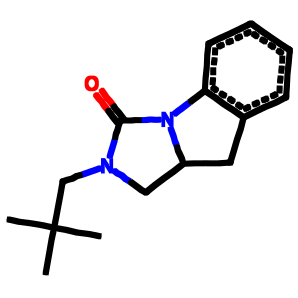 CC(C)(C)CN1CC2Cc3ccccc3N2C1=O